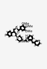 COc1cc(C(=O)N(C)CC(CCN2CCC(Nc3nc4c(Cc5cccnc5)cccc4[nH]3)CC2)c2ccc(F)cc2)cc(OC)c1OC